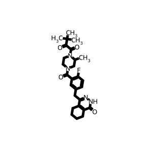 CC1CN(C(=O)c2cc(Cc3n[nH]c(=O)c4c3CCCC4)ccc2F)CCN1C(=O)C(=O)C(C)(C)C